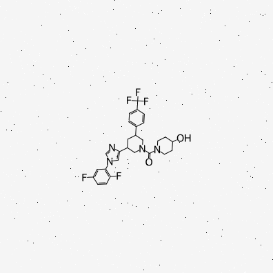 O=C(N1CCC(O)CC1)N1CC(c2ccc(C(F)(F)F)cc2)CC(c2cn(-c3cc(F)ccc3F)cn2)C1